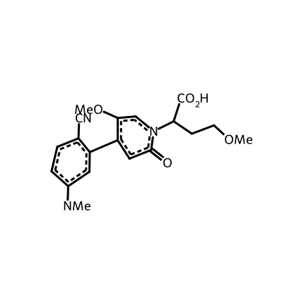 CNc1ccc(C#N)c(-c2cc(=O)n(C(CCOC)C(=O)O)cc2OC)c1